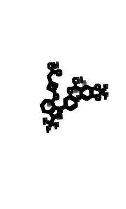 C[C@H](Oc1cc(-n2nc(C(F)(F)F)c3c2[C@H](OC24CC(CC(=O)O)(C2)C4)CCC3)ccc1F)c1ccc2c(c1)OC(F)(F)O2